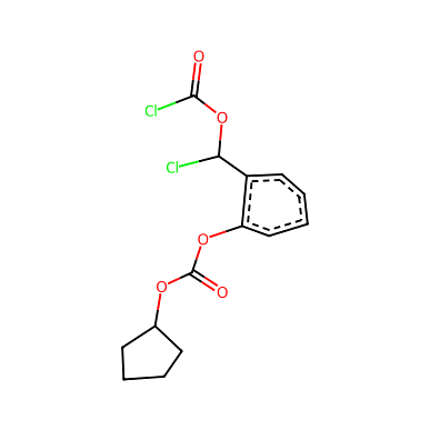 O=C(Cl)OC(Cl)c1ccccc1OC(=O)OC1CCCC1